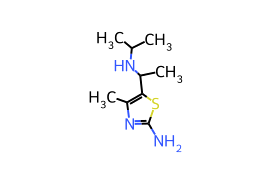 Cc1nc(N)sc1C(C)NC(C)C